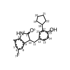 O=C1Nc2ccc(F)cc2C1Cc1ccc(O)c(C2CCCC2)c1